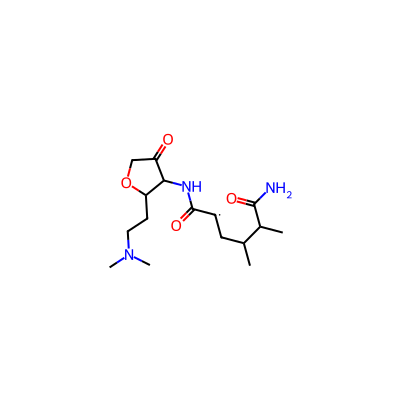 CC(C[CH]C(=O)NC1C(=O)COC1CCN(C)C)C(C)C(N)=O